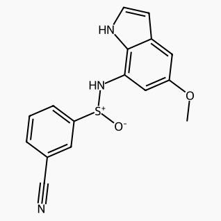 COc1cc(N[S+]([O-])c2cccc(C#N)c2)c2[nH]ccc2c1